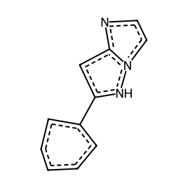 c1ccc(-c2cc3nccn3[nH]2)cc1